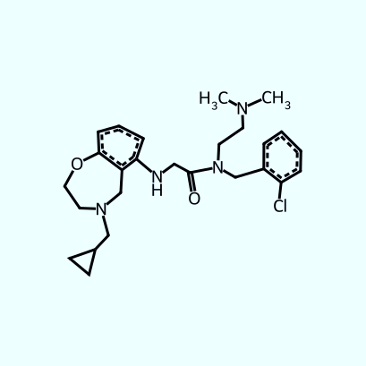 CN(C)CCN(Cc1ccccc1Cl)C(=O)CNc1cccc2c1CN(CC1CC1)CCO2